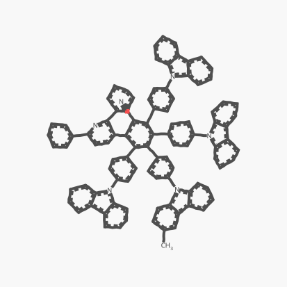 Cc1ccc2c(c1)c1ccccc1n2-c1ccc(-c2c(-c3ccc(-n4c5ccccc5c5ccccc54)cc3)c(-c3ccc(-n4c5ccccc5c5ccccc54)cc3)c(C#N)c(-c3ccc(-c4ccccc4)nc3-c3ccccc3)c2-c2ccc(-n3c4ccccc4c4ccccc43)cc2)cc1